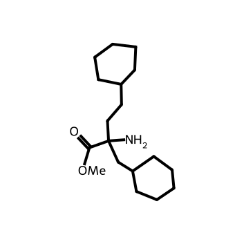 COC(=O)C(N)(CCC1CCCCC1)CC1CCCCC1